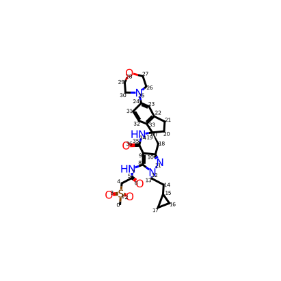 CS(=O)(=O)CC(=O)Nc1c2c(nn1CCC1CC1)C[C@@]1(CCc3cc(N4CCOCC4)ccc31)NC2=O